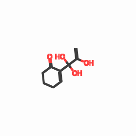 C=C(O)C(O)(O)C1=CCCCC1=O